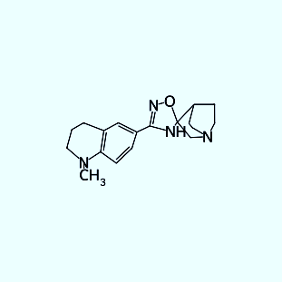 CN1CCCc2cc(C3=NOC4(CN5CCC4CC5)N3)ccc21